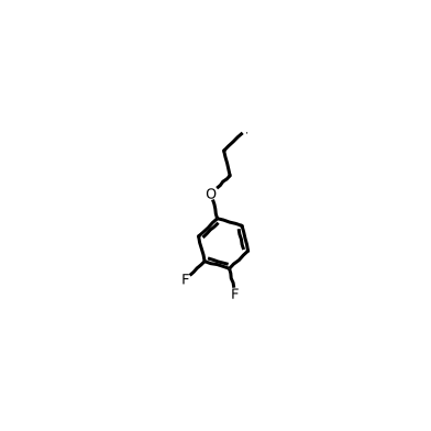 [CH2]CCOc1ccc(F)c(F)c1